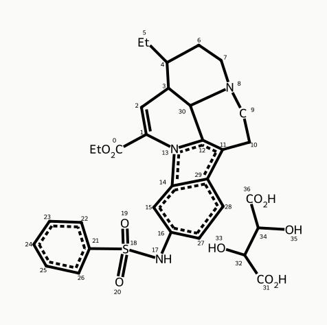 CCOC(=O)C1=CC2C(CC)CCN3CCc4c(n1c1cc(NS(=O)(=O)c5ccccc5)ccc41)C23.O=C(O)C(O)C(O)C(=O)O